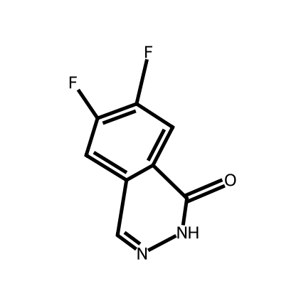 O=c1[nH]ncc2cc(F)c(F)cc12